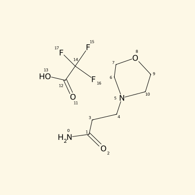 NC(=O)CCN1CCOCC1.O=C(O)C(F)(F)F